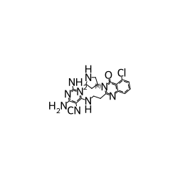 N#Cc1c(N)nc(N)nc1NCCc1nc2cccc(Cl)c2c(=O)n1[C@@H]1CCNC1